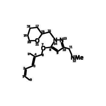 C/C=C\C=C(/C)COc1cc(CNC)nn1CC1CCCCO1